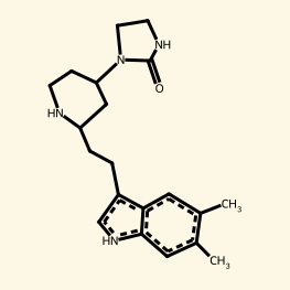 Cc1cc2[nH]cc(CCC3CC(N4CCNC4=O)CCN3)c2cc1C